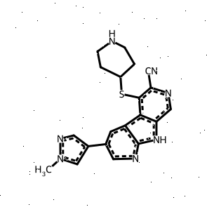 Cn1cc(-c2cnc3[nH]c4cnc(C#N)c(SC5CCNCC5)c4c3c2)cn1